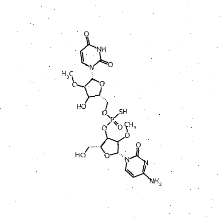 COC1C(O)[C@@H](COP(=O)(S)OC2C(OC)[C@H](n3ccc(N)nc3=O)O[C@@H]2CO)O[C@H]1n1ccc(=O)[nH]c1=O